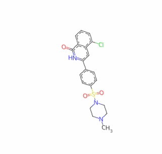 CN1CCN(S(=O)(=O)c2ccc(-c3cc4c(Cl)cccc4c(=O)[nH]3)cc2)CC1